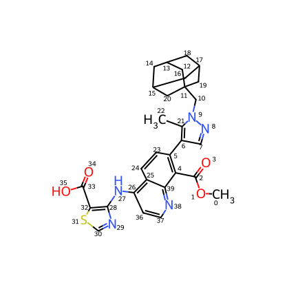 COC(=O)c1c(-c2cnn(CC34CC5CC(CC(C5)C3)C4)c2C)ccc2c(Nc3ncsc3C(=O)O)ccnc12